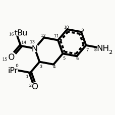 CC(C)C(=O)C1Cc2cc(N)ccc2CN1C(=O)C(C)(C)C